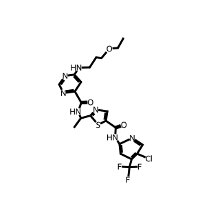 CCOCCCNc1cc(C(=O)NC(C)c2ncc(C(=O)Nc3cc(C(F)(F)F)c(Cl)cn3)s2)ncn1